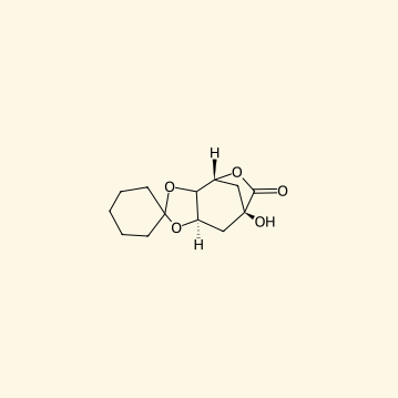 O=C1O[C@@H]2C[C@@]1(O)C[C@H]1OC3(CCCCC3)OC21